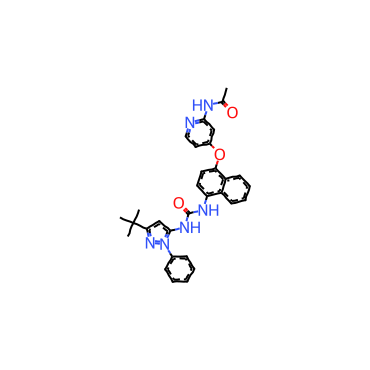 CC(=O)Nc1cc(Oc2ccc(NC(=O)Nc3cc(C(C)(C)C)nn3-c3ccccc3)c3ccccc23)ccn1